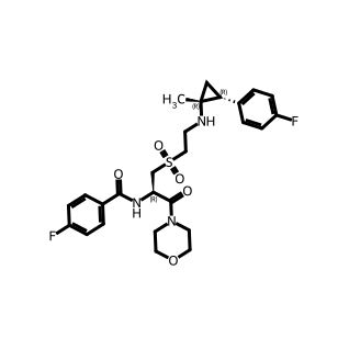 C[C@@]1(NCCS(=O)(=O)C[C@H](NC(=O)c2ccc(F)cc2)C(=O)N2CCOCC2)C[C@@H]1c1ccc(F)cc1